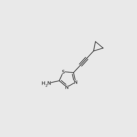 Nc1nnc(C#CC2CC2)s1